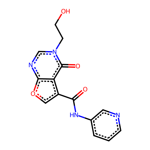 O=C(Nc1cccnc1)c1coc2ncn(CCO)c(=O)c12